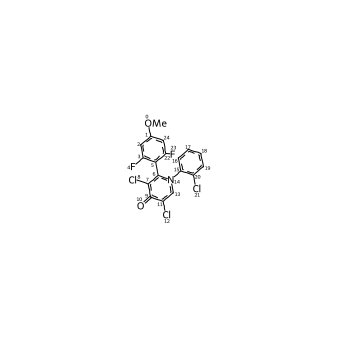 COc1cc(F)c(-c2c(Cl)c(=O)c(Cl)cn2-c2ccccc2Cl)c(F)c1